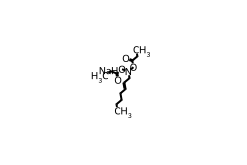 CCCCC=CCN(OC(=O)CC)OC(=O)CC.[NaH]